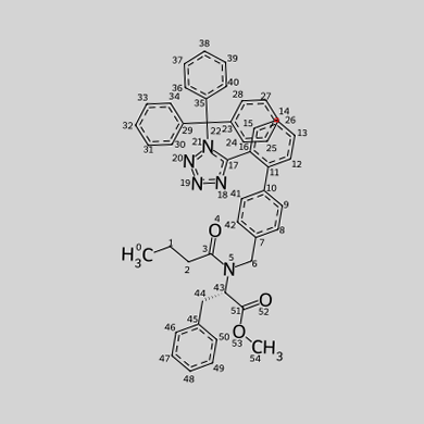 CCCC(=O)N(Cc1ccc(-c2ccccc2-c2nnnn2C(c2ccccc2)(c2ccccc2)c2ccccc2)cc1)[C@@H](Cc1ccccc1)C(=O)OC